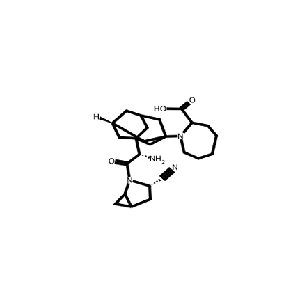 N#C[C@@H]1CC2CC2N1C(=O)[C@@H](N)C12CC3C[C@@H](C1)CC(N1CCCCCC1C(=O)O)(C3)C2